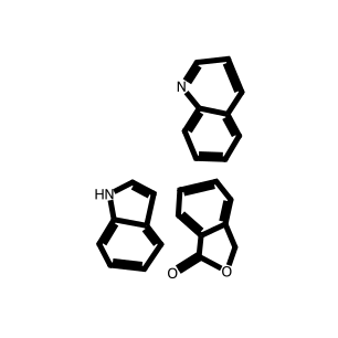 O=C1OCc2ccccc21.c1ccc2[nH]ccc2c1.c1ccc2ncccc2c1